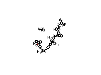 CN(CCN1CCC(N(C(=O)O)c2ccccc2-c2ccccc2)CC1)C(=O)CCC1CCN(c2ccc(C(=O)N(C)CCCN(C)C(=O)CO[C@H]3Cc4ccccc4C34CCN(CC[C@@]3(c5ccc(F)cc5)CN(C(=O)c5cc(C(F)(F)F)cc(C(F)(F)F)c5)CO3)CC4)cc2)CC1.Cl.Cl.Cl